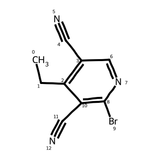 CCc1c(C#N)cnc(Br)c1C#N